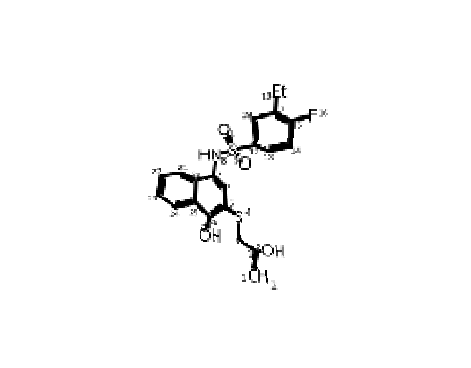 C=C(O)CSc1cc(NS(=O)(=O)c2ccc(F)c(CC)c2)c2ccccc2c1O